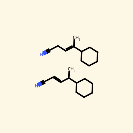 CC(=CCC#N)C1CCCCC1.CC(C=CC#N)C1CCCCC1